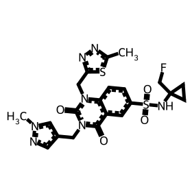 Cc1nnc(Cn2c(=O)n(Cc3cnn(C)c3)c(=O)c3cc(S(=O)(=O)NC4(CF)CC4)ccc32)s1